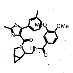 COc1ccc(C(=O)NCC2C3CC3CN2C(=O)c2nc(C)sc2-c2cccc(C)c2)cc1OC